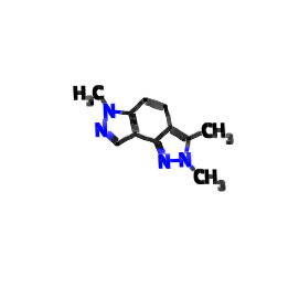 Cc1c2ccc3c(cnn3C)c2nn1C